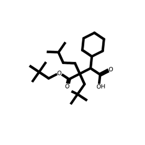 CC(C)CCC(CC(C)(C)C)(C(=O)OCC(C)(C)C)C(C(=O)O)C1CCCCC1